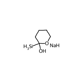 OC1([SiH3])CCCCO1.[NaH]